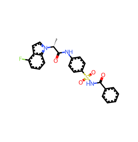 C[C@H](C(=O)Nc1ccc(S(=O)(=O)NC(=O)c2ccccc2)cc1)n1ccc2c(F)cccc21